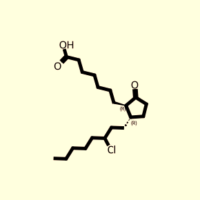 CCCCCC(Cl)CC[C@H]1CCC(=O)[C@@H]1CCCCCCC(=O)O